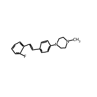 CN1CCN(c2ccc(C=Cc3ccccc3F)cc2)CC1